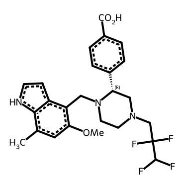 COc1cc(C)c2[nH]ccc2c1CN1CCN(CC(F)(F)C(F)F)C[C@H]1c1ccc(C(=O)O)cc1